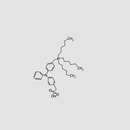 CCCCCC[N+](CCCCCC)(CCCCCC)Cc1ccc(N(c2ccccc2)c2ccc(CS(=O)(=O)O)cc2)cc1